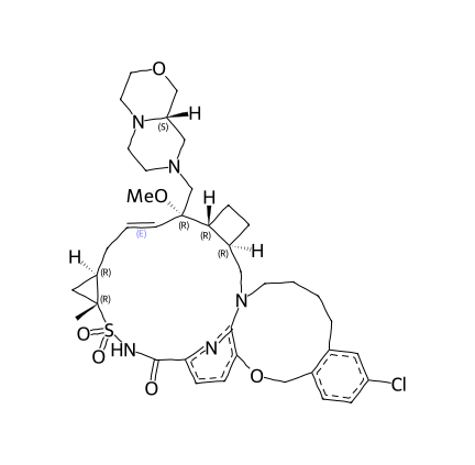 CO[C@@]1(CN2CCN3CCOC[C@@H]3C2)/C=C/C[C@@H]2C[C@@]2(C)S(=O)(=O)NC(=O)c2ccc3c(n2)N(CCCCc2cc(Cl)ccc2CO3)C[C@@H]2CC[C@H]21